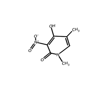 Cc1cn(C)c(=O)c([N+](=O)[O-])c1O